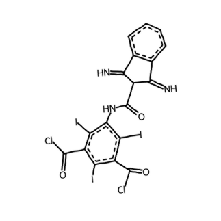 N=C1c2ccccc2C(=N)C1C(=O)Nc1c(I)c(C(=O)Cl)c(I)c(C(=O)Cl)c1I